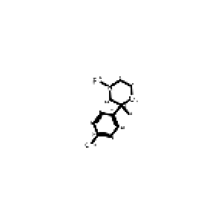 CC(C)N1CCOC(C)(c2ccc(Cl)cc2)C1